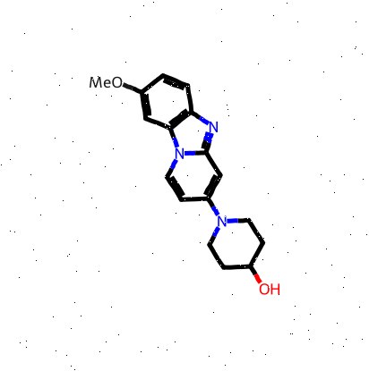 COc1ccc2nc3cc(N4CCC(O)CC4)ccn3c2c1